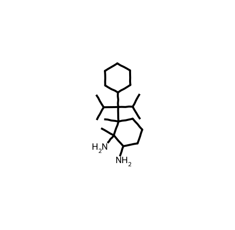 CC(C)C(C(C)C)(C1CCCCC1)C1(C)CCCC(N)C1(C)N